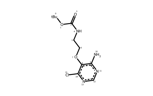 CC(C)(C)OC(=O)NCCOc1c(N)ncnc1Cl